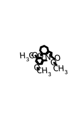 CCOC(=O)c1cc2c(n1Cc1cc(OC)cc(OC)c1)C(=O)CCCC2